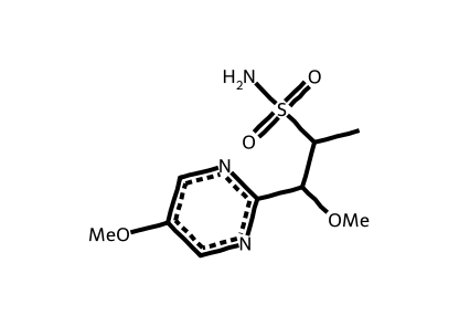 COc1cnc(C(OC)C(C)S(N)(=O)=O)nc1